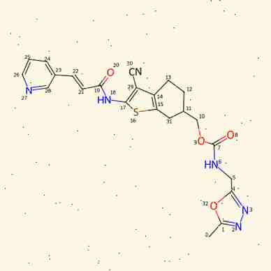 Cc1nnc(CNC(=O)OCC2CCc3c(sc(NC(=O)C=Cc4cccnc4)c3C#N)C2)o1